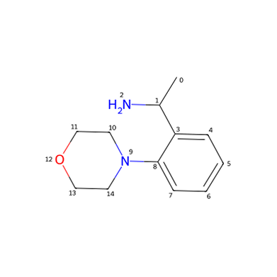 CC(N)c1ccccc1N1CCOCC1